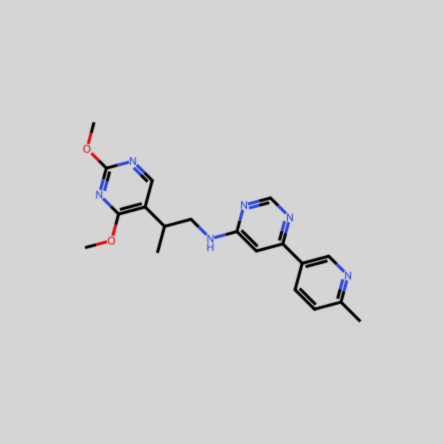 COc1ncc(C(C)CNc2cc(-c3ccc(C)nc3)ncn2)c(OC)n1